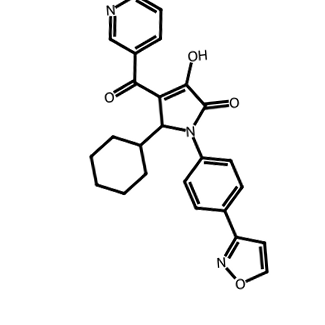 O=C(C1=C(O)C(=O)N(c2ccc(-c3ccon3)cc2)C1C1CCCCC1)c1cccnc1